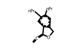 C=C=C1OCc2cc(CCC)c(CCC)cc21